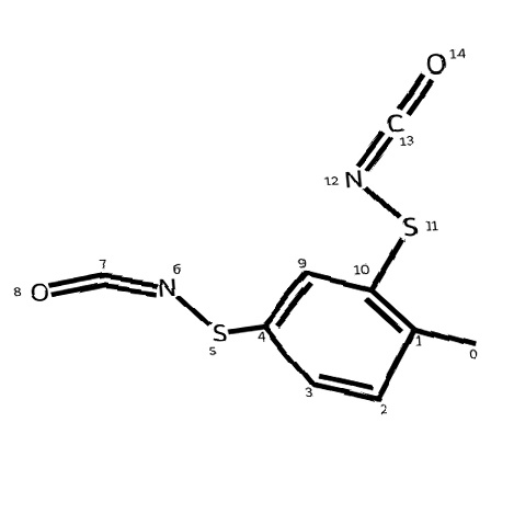 Cc1ccc(SN=C=O)cc1SN=C=O